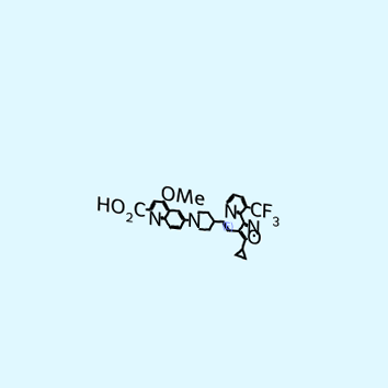 COc1cc(C(=O)O)nc2ccc(N3CCC(/C=C/c4c(-c5ncccc5C(F)(F)F)noc4C4CC4)CC3)cc12